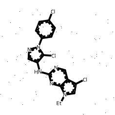 CCn1cc(Cl)c2cnc(Nc3cnn(-c4ccc(Cl)cc4)c3Cl)nc21